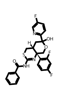 O=C(NC1=N[C@@]2(c3ccc(F)cc3F)COC(O)(c3ccc(F)cn3)C[C@H]2CS1)c1ccccc1